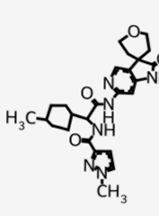 CC1CCC(C(NC(=O)c2ccn(C)n2)C(=O)Nc2cc3c(cn2)C2(CCOCC2)C(=O)N3)CC1